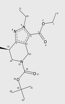 CCOC(=O)c1c2c(nn1CC)[C@H](C)CN(C(=O)OC(C)(C)C)C2